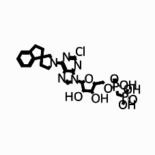 O=P(O)(O)CP(=O)(O)OCC1OC(n2cnc3c(N4CCC5(CCc6ccccc65)C4)nc(Cl)nc32)C(O)C1O